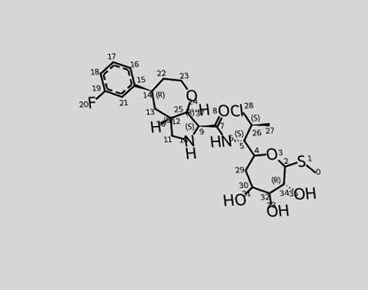 CSC1OC([C@H](NC(=O)[C@H]2NC[C@@H]3C[C@@H](c4cccc(F)c4)CCO[C@H]32)[C@H](C)Cl)CC(O)C(O)[C@H]1O